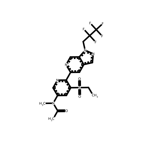 CCS(=O)(=O)c1cc(N(C)C(C)=O)cnc1-c1cc2cnn(CC(F)(F)C(F)(F)F)c2cn1